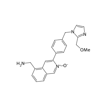 COCc1nccn1Cc1ccc(-c2cc3c(CN)cccc3c[n+]2[O-])cc1